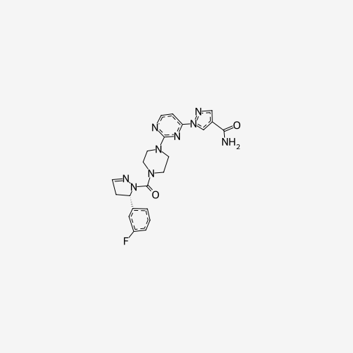 NC(=O)c1cnn(-c2ccnc(N3CCN(C(=O)N4N=CC[C@H]4c4cccc(F)c4)CC3)n2)c1